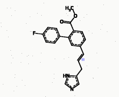 COC(=O)c1ccc(/C=C/Cc2cnc[nH]2)cc1-c1ccc(F)cc1